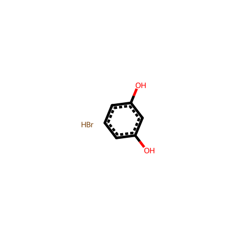 Br.Oc1cccc(O)c1